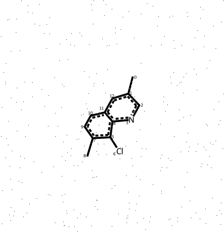 Cc1cnc2c(Cl)c(C)ccc2c1